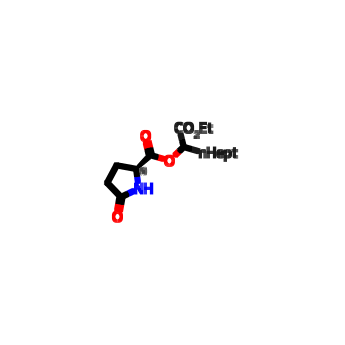 CCCCCCCC(OC(=O)[C@@H]1CCC(=O)N1)C(=O)OCC